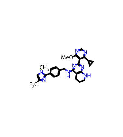 COc1ncnc(C2CC2)c1-c1nc2c(c(NCc3ccc(-c4nc(C(F)(F)F)cn4C)cc3)n1)CCCN2